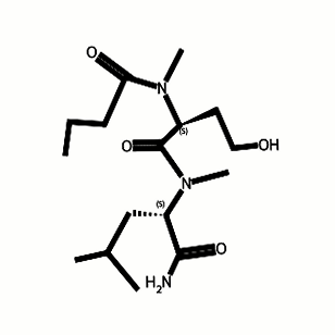 CCCC(=O)N(C)[C@@H](CCO)C(=O)N(C)[C@@H](CC(C)C)C(N)=O